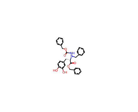 O=C(NN(Cc1ccccc1)[C@@H](Cc1ccc(O)c(O)c1)C(=O)OCc1ccccc1)OCc1ccccc1